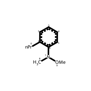 CCCc1ccccc1N(C)OC